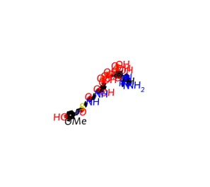 [2H]C1(N)N=CN=C2C1=NCN2[C@@H]1O[C@H](COP(=O)(O)OP(=O)(O)OCC(C)(C)[C@@H](O)C(=O)NCCC(=O)NCCSC(=O)/C=C/c2ccc(O)c(OC)c2)[C@@H](OP(=O)(O)O)[C@H]1O